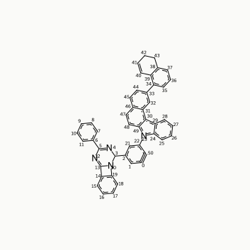 c1cc(C2N=C(c3ccccc3)N=C3c4ccccc4N32)cc(-n2c3ccccc3c3c4cc(-c5cccc6c5C=CCC6)ccc4ccc32)c#1